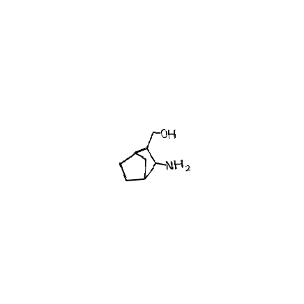 NC1C2CCC(C2)C1CO